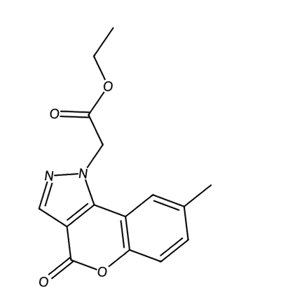 CCOC(=O)Cn1ncc2c(=O)oc3ccc(C)cc3c21